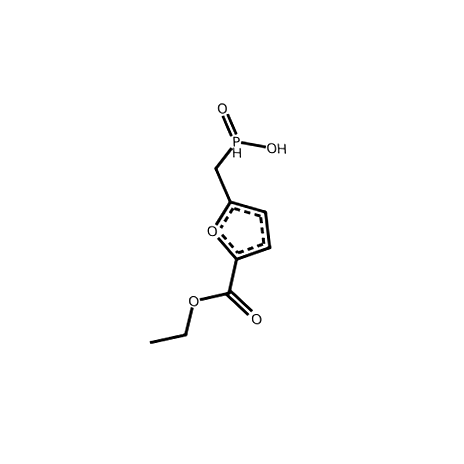 CCOC(=O)c1ccc(C[PH](=O)O)o1